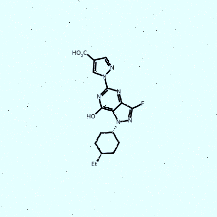 CC[C@H]1CC[C@H](n2nc(F)c3nc(-n4cc(C(=O)O)cn4)nc(O)c32)CC1